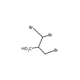 O=C(O)C(CBr)C(Br)Br